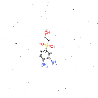 Nc1ccc(S(=O)(=O)CCO)cc1N